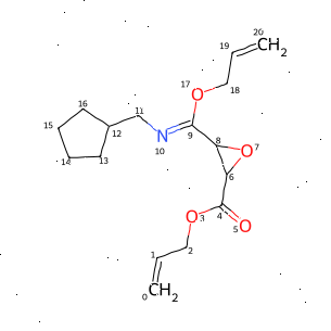 C=CCOC(=O)C1OC1C(=NCC1CCCC1)OCC=C